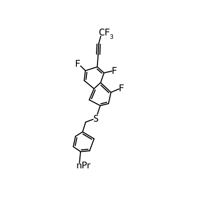 CCCc1ccc(CSc2cc(F)c3c(F)c(C#CC(F)(F)F)c(F)cc3c2)cc1